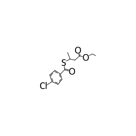 CCOC(=O)CC(C)SC(=O)c1ccc(Cl)cc1